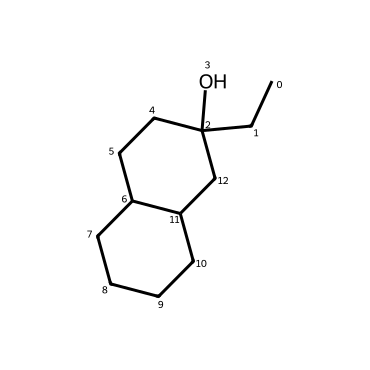 CCC1(O)CCC2CCCCC2C1